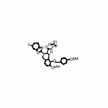 CCS(=O)(=O)NC(=O)C1Cc2c(ccc(OC)c2OCc2ccc(OC)cc2)CN1c1nc2ccc(F)cc2o1